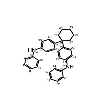 c1ccc(Nc2ccc(C3(c4ccc(Nc5ccccc5)cc4)CCCCC3)cc2)cc1